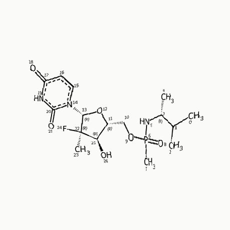 CC(C)[C@@H](C)NP(C)(=O)OC[C@H]1O[C@@H](n2ccc(=O)[nH]c2=O)[C@](C)(F)[C@@H]1O